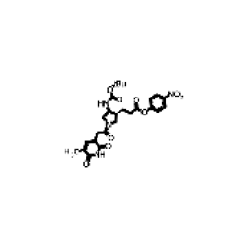 CC1=CC(CC(=O)N2CC(NC(=O)OC(C)(C)C)[C@@H](CCC(=O)Oc3ccc([N+](=O)[O-])cc3)C2)C(=O)NC1=O